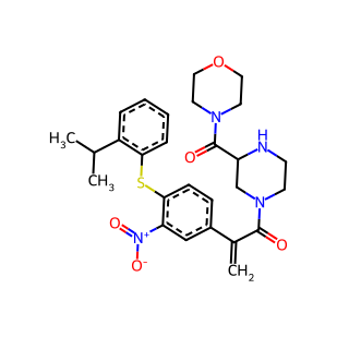 C=C(C(=O)N1CCNC(C(=O)N2CCOCC2)C1)c1ccc(Sc2ccccc2C(C)C)c([N+](=O)[O-])c1